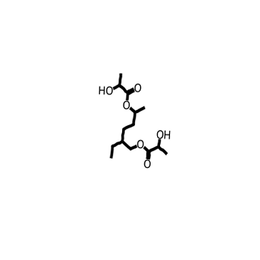 CCC(CCC(C)OC(=O)C(C)O)COC(=O)C(C)O